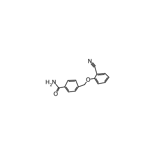 N#Cc1ccccc1OCc1ccc(C(N)=O)cc1